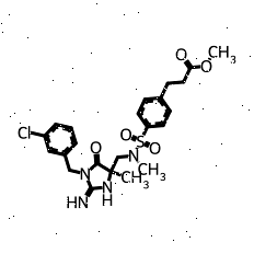 COC(=O)CCc1ccc(S(=O)(=O)N(C)CC2(C)NC(=N)N(Cc3cccc(Cl)c3)C2=O)cc1